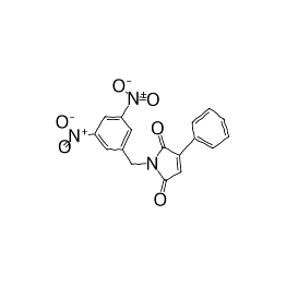 O=C1C=C(c2ccccc2)C(=O)N1Cc1cc([N+](=O)[O-])cc([N+](=O)[O-])c1